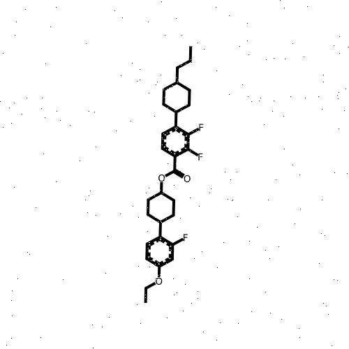 CCCC1CCC(c2ccc(C(=O)OC3CCC(c4ccc(OCC)cc4F)CC3)c(F)c2F)CC1